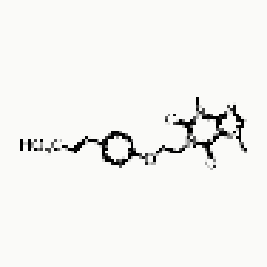 Cn1cnc2c1c(=O)n(CCOc1ccc(/C=C/C(=O)O)cc1)c(=O)n2C